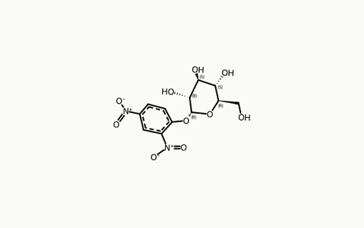 O=[N+]([O-])c1ccc(O[C@H]2O[C@H](CO)[C@@H](O)[C@H](O)[C@H]2O)c([N+](=O)[O-])c1